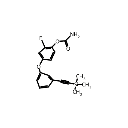 C[Si](C)(C)C#Cc1cccc(Oc2ccc(OC(N)=O)c(F)c2)c1